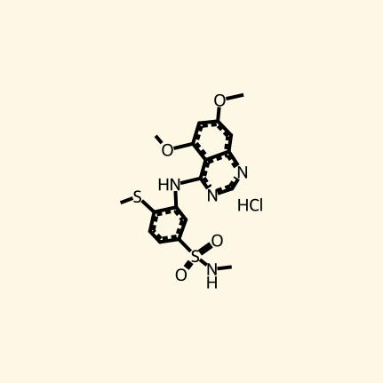 CNS(=O)(=O)c1ccc(SC)c(Nc2ncnc3cc(OC)cc(OC)c23)c1.Cl